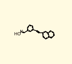 O/N=C/c1cccc(C#Cc2ccc3ccccc3c2)c1